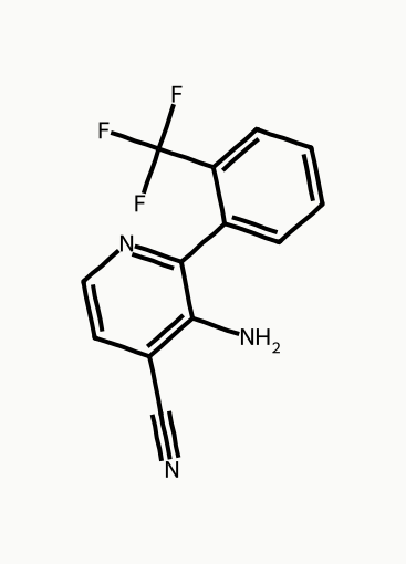 N#Cc1ccnc(-c2ccccc2C(F)(F)F)c1N